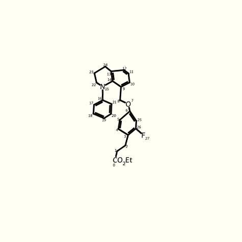 CCOC(=O)CCc1ccc(OCc2cccc3c2N(c2ccccc2)CCC3)cc1F